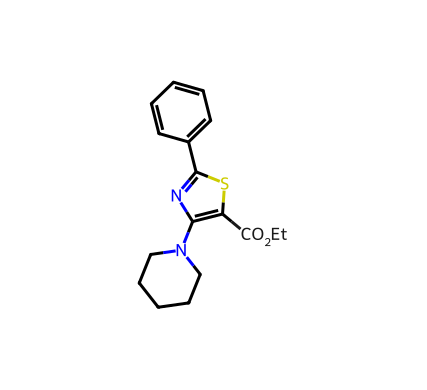 CCOC(=O)c1sc(-c2ccccc2)nc1N1CCCCC1